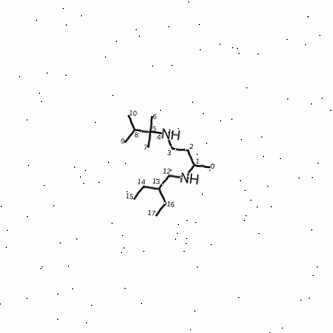 [CH2]C(CCNC(C)(C)C(C)C)NCC(CC)CC